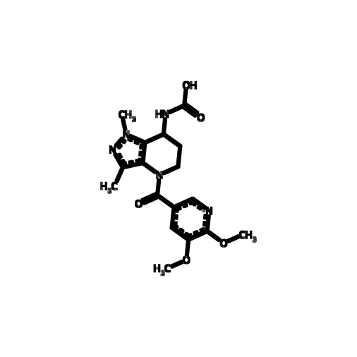 COc1cc(C(=O)N2CCC(NC(=O)O)c3c2c(C)nn3C)cnc1OC